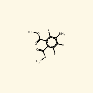 COC(=O)c1c(F)c(N)c(F)c(F)c1C(=O)OC